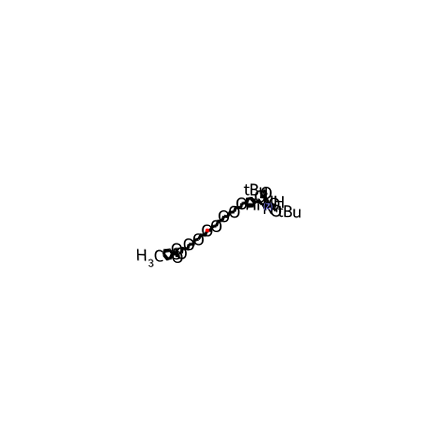 Cc1ccc(S(=O)(=O)OCCOCCOCCOCCOCCOCCOCCOc2ccc(CN/C(=N/C(=O)OC(C)(C)C)NC(=O)OC(C)(C)C)cc2)cc1